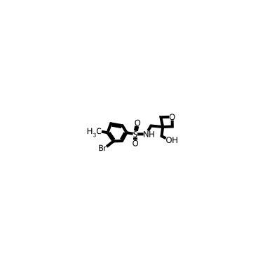 Cc1ccc(S(=O)(=O)NCC2(CO)COC2)cc1Br